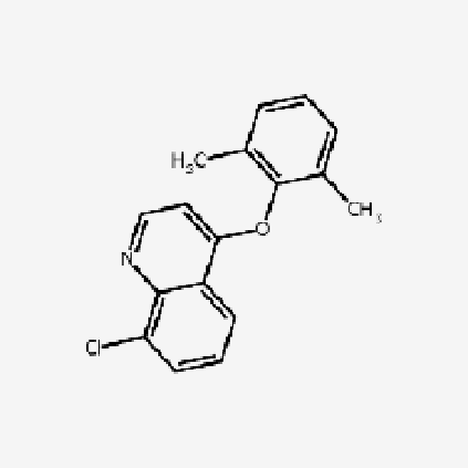 Cc1cccc(C)c1Oc1ccnc2c(Cl)cccc12